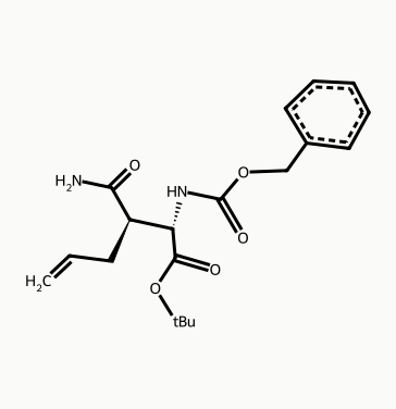 C=CC[C@@H](C(N)=O)[C@H](NC(=O)OCc1ccccc1)C(=O)OC(C)(C)C